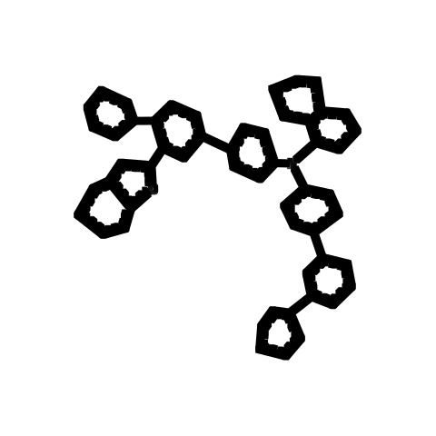 c1ccc(-c2cccc(-c3ccc(N(c4ccc(-c5ccc(-c6ccccc6)c(-c6cc7ccccc7o6)c5)cc4)c4cccc5ccccc45)cc3)c2)cc1